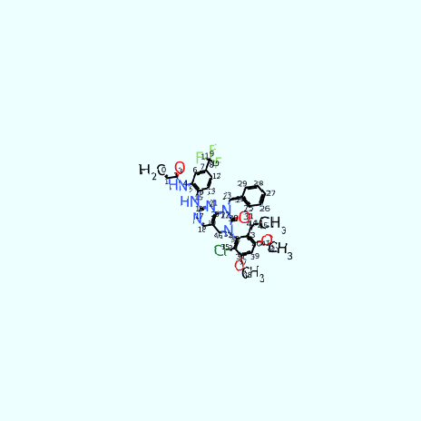 C=CC(=O)Nc1cc(C(F)(F)F)ccc1Nc1ncc2c(n1)N(Cc1ccccc1)C(=O)N(c1c(Cl)c(OC)cc(OC)c1CC)C2